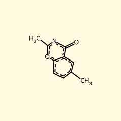 Cc1ccc2oc(C)nc(=O)c2c1